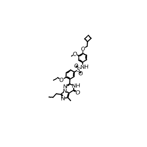 CCCc1nc(C)c2c(=O)[nH]c(-c3cc(S(=O)(=O)Nc4ccc(OCC5CCC5)c(OC)c4)ccc3OCC)nn12